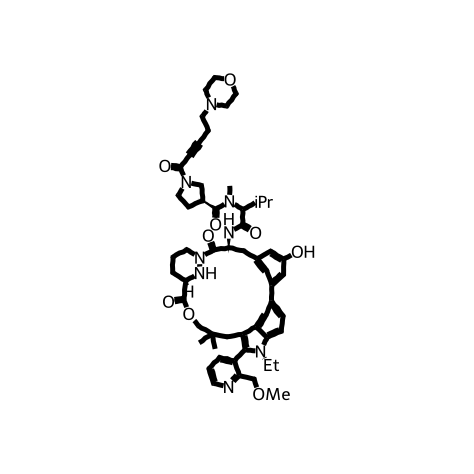 CCn1c(-c2cccnc2COC)c2c3cc(ccc31)-c1cc(O)cc(c1)C[C@H](NC(=O)C(C(C)C)N(C)C(=O)[C@H]1CCN(C(=O)C#CCCN3CCOCC3)C1)C(=O)N1CCC[C@H](N1)C(=O)OCC(C)(C)C2